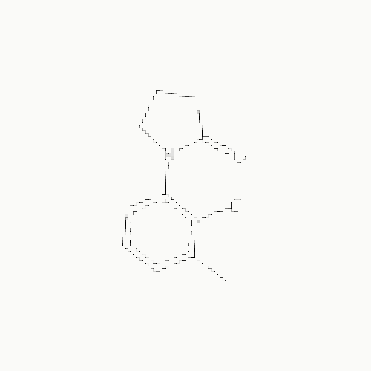 Cc1cccc(N2CCCC2=O)c1Cl